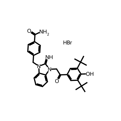 Br.CC(C)(C)c1cc(C(=O)Cn2c(=N)n(Cc3ccc(C(N)=O)cc3)c3ccccc32)cc(C(C)(C)C)c1O